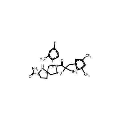 Cc1cc(F)ccc1[C@H]1C[C@]2(CC[C@H](C(N)=O)N2)CCN1C(=O)C(C)(N)Cc1cc(C(F)(F)F)cc(C(F)(F)F)c1